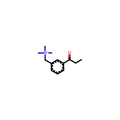 CCC(=O)c1cccc(C[N+](C)(C)C)c1